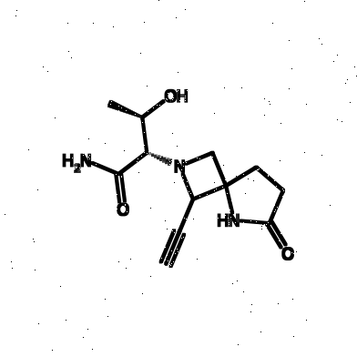 C#CC1N([C@H](C(N)=O)[C@@H](C)O)CC12CCC(=O)N2